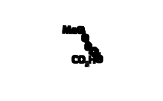 COCCOCCOc1ccc(I=O)c(C(=O)O)c1